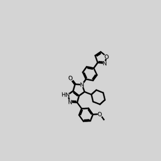 COc1cccc(-c2n[nH]c3c2C(C2CCCCC2)N(c2ccc(-c4ccon4)cc2)C3=O)c1